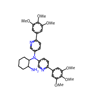 COc1cc(-c2ccc(N(c3ccc(-c4cc(OC)c(OC)c(OC)c4)nc3)C3CCCCC3N)cn2)cc(OC)c1OC